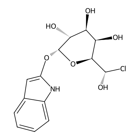 O[C@H]1[C@@H](O)[C@@H]([C@@H](O)Cl)O[C@H](Oc2cc3ccccc3[nH]2)[C@@H]1O